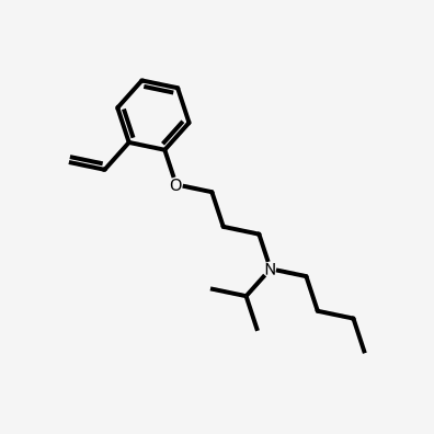 C=Cc1ccccc1OCCCN(CCCC)C(C)C